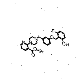 CC(C)OC(=O)c1cccnc1N1CCN(Cc2cccc(OCc3c(O)cccc3F)c2)CC1